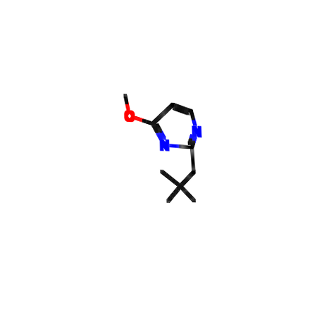 COc1ccnc(CC(C)(C)C)n1